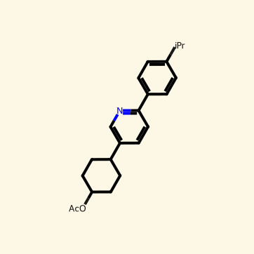 CC(=O)OC1CCC(c2ccc(-c3ccc(C(C)C)cc3)nc2)CC1